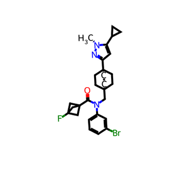 Cn1nc(C23CCC(CN(C(=O)C45CC(F)(C4)C5)c4cccc(Br)c4)(CC2)CC3)cc1C1CC1